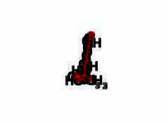 CCCC1O[C@@H]2C[C@H]3[C@@H]4CCC5=CC(=O)C=C[C@]5(C)[C@H]4[C@@H](O)C[C@]3(C)[C@]2(C(=O)COCNC(=O)CNC(=O)CCOCCOCCOCCOCCNC(=O)COC2/C=C\CCCCC2)O1